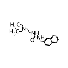 CCN(CC)CCNC(=O)NCc1ccc2ccccc2c1